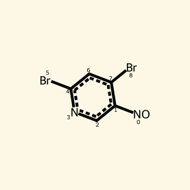 O=Nc1cnc(Br)cc1Br